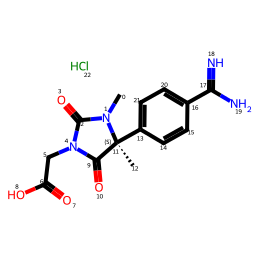 CN1C(=O)N(CC(=O)O)C(=O)[C@]1(C)c1ccc(C(=N)N)cc1.Cl